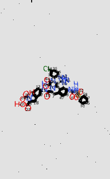 O=C(Nc1ccc(C[C@@H](C(=O)Nc2ccc3c(c2)cc(C(=O)O)n3C(=O)O)N2CCN(c3cc(Cl)ccc3-n3cnnn3)C(=O)C2=O)cc1)NS(=O)(=O)c1ccccc1